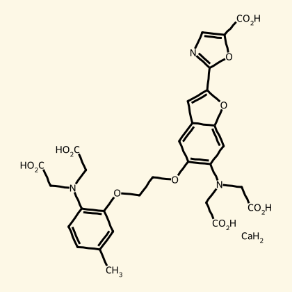 Cc1ccc(N(CC(=O)O)CC(=O)O)c(OCCOc2cc3cc(-c4ncc(C(=O)O)o4)oc3cc2N(CC(=O)O)CC(=O)O)c1.[CaH2]